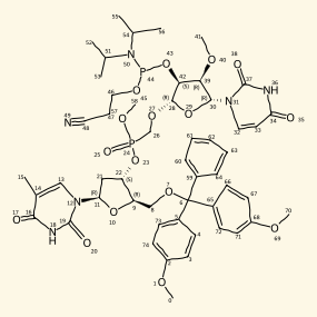 COc1ccc(C(OC[C@H]2O[C@@H](n3cc(C)c(=O)[nH]c3=O)C[C@@H]2OP(=O)(CO[C@H]2O[C@@H](n3ccc(=O)[nH]c3=O)[C@H](OC)[C@@H]2OP(OCCC#N)N(C(C)C)C(C)C)OC)(c2ccccc2)c2ccc(OC)cc2)cc1